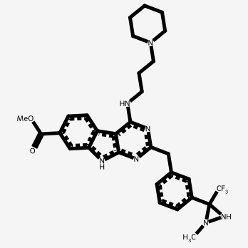 COC(=O)c1ccc2c(c1)[nH]c1nc(Cc3cccc(C4(C(F)(F)F)NN4C)c3)nc(NCCCN3CCCCC3)c12